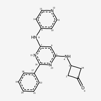 O=C1CC(Nc2cc(Nc3ccncc3)nc(-c3ccccc3)n2)C1